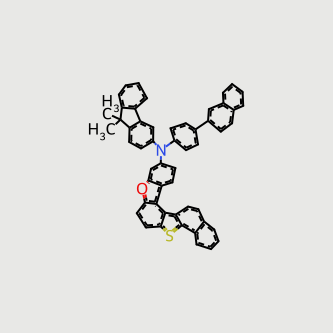 CC1(C)c2ccccc2-c2cc(N(c3ccc(-c4ccc5ccccc5c4)cc3)c3ccc4c(c3)oc3ccc5sc6c7ccccc7ccc6c5c34)ccc21